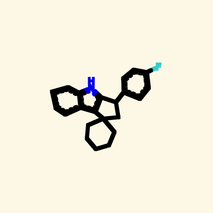 Fc1ccc(C2CC3(CCCCC3)c3c2[nH]c2ccccc32)cc1